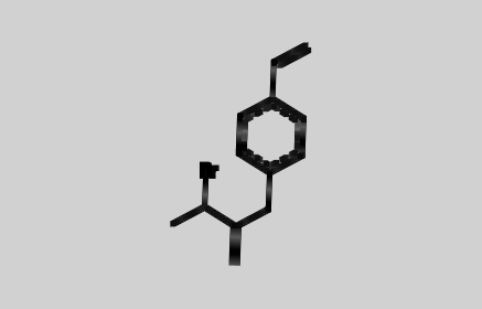 C=Cc1ccc(CC(=C)C(C)Br)cc1